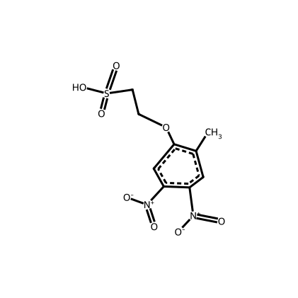 Cc1cc([N+](=O)[O-])c([N+](=O)[O-])cc1OCCS(=O)(=O)O